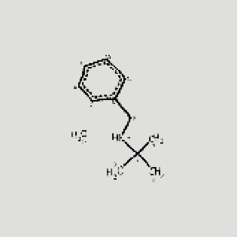 CC(C)(C)NCc1ccccc1.O